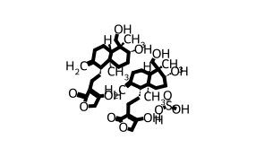 C=C1CC[C@@H]2[C@](C)(CO)[C@H](O)CC[C@@]2(C)[C@@H]1CCC1=C(O)COC1=O.C=C1CC[C@@H]2[C@](C)(CO)[C@H](O)CC[C@@]2(C)[C@@H]1CCC1=C(O)COC1=O.O=S(O)O